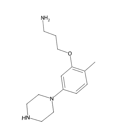 Cc1ccc(N2CCNCC2)cc1OCCCN